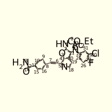 CCOC(=O)Nc1oc2c(C#Cc3ccc(C(N)=O)cc3)nccc2c1N(C(C)=O)c1ccc(F)c(Cl)c1